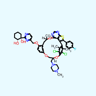 Cc1c(Cl)c2c(Cl)c(C)c1-c1c(-c3ccc(F)cc3)sc3ncnc(c13)O[C@@H](C(=O)O)Cc1cc(ccc1OCc1ccnc([C@]3(O)CCCC[C@H]3O)n1)OC[C@@H](CN1CCN(C)CC1)O2